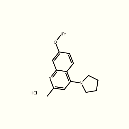 Cc1cc(N2CCCC2)c2ccc(OC(C)C)cc2n1.Cl